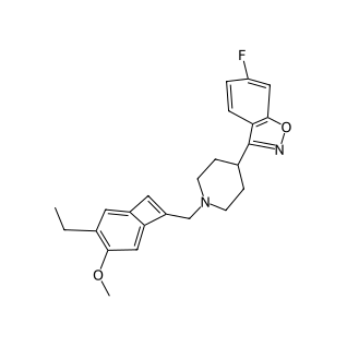 CCc1cc2c(cc1OC)C(CN1CCC(c3noc4cc(F)ccc34)CC1)=C2